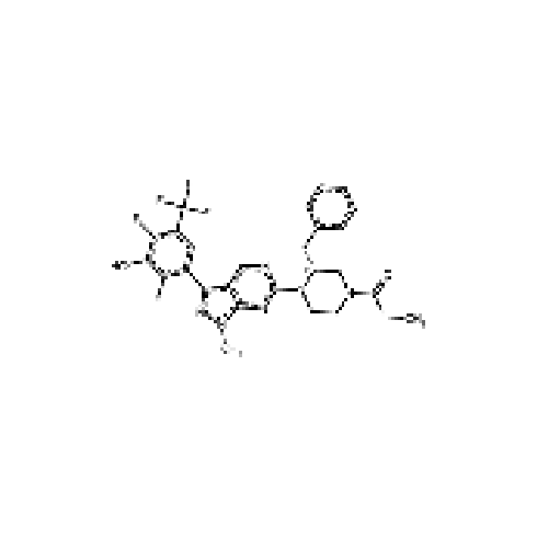 COC(=O)N1CCN(c2ncc3c(-c4cc(C(F)(F)F)c(F)c(O)c4F)nn(C)c3n2)[C@H](Cc2ccccc2)C1